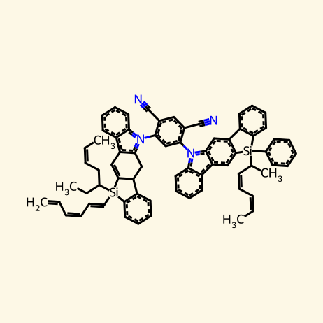 C=C/C=C\C=C\[Si]1(C(CC)C/C=C\C)C2=Cc3c(n(-c4cc(-n5c6ccccc6c6cc7c(cc65)-c5ccccc5[Si]7(c5ccccc5)C(C)/C=C\C=C/C)c(C#N)cc4C#N)c4ccccc34)CC2c2ccccc21